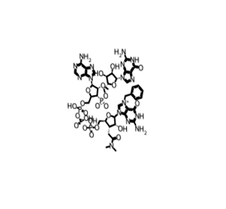 CO[C@H]1[C@H](n2cnc3c(N)ncnc32)OC(COP(=O)(O)OP(=O)(O)OP(=O)(O)OC[C@H]2OC(n3c[n+](Cc4ccccc4)c4c(=O)[nH]c(N)nc43)[C@H](O)[C@@H]2CC(=O)N(C)C)[C@H]1P(=O)([O-])OC[C@H]1O[C@@H](n2cnc3c(=O)[nH]c(N)nc32)[C@H](O)[C@@H]1O